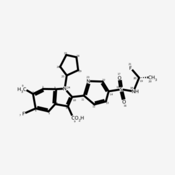 Cc1cc2c(cc1F)c(C(=O)O)c(-c1ccc(S(=O)(=O)N[C@@H](C)F)cn1)n2C1CCCC1